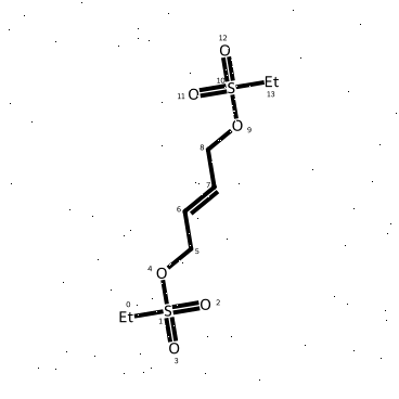 CCS(=O)(=O)OCC=CCOS(=O)(=O)CC